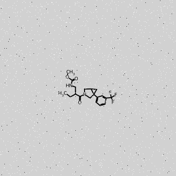 CCC(CNC(=O)OC)C(=O)N1CC2CC2(c2cccc(C(F)(F)F)c2)C1